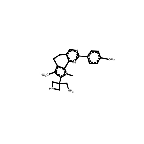 COc1ccc(-c2ncc3c(n2)-c2c(c(C(=O)O)c(C4(CN)CNC4)n2C)CC3)cc1